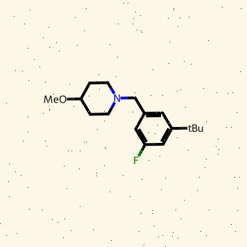 COC1CCN(Cc2cc(F)cc(C(C)(C)C)c2)CC1